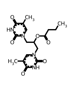 CCCC(=O)OC(Cn1cc(C)c(=O)[nH]c1=O)Cn1cc(C)c(=O)[nH]c1=O